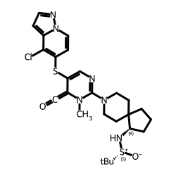 CN1C(=C=O)C(Sc2ccn3nccc3c2Cl)=CN=C1N1CCC2(CCC[C@H]2N[S@+]([O-])C(C)(C)C)CC1